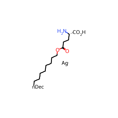 CCCCCCCCCCCCCCCCCCOC(=O)CC[C@H](N)C(=O)O.[Ag]